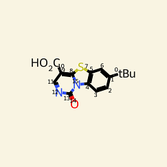 CC(C)(C)c1ccc2c(c1)sc1c(C(=O)O)cnc(=O)n12